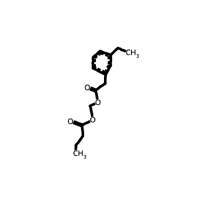 CCCC(=O)OCOC(=O)Cc1cccc(CC)c1